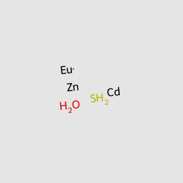 O.S.[Cd].[Eu].[Zn]